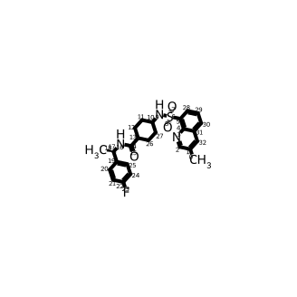 Cc1cnc2c(S(=O)(=O)NC3CCC(C(=O)N[C@H](C)c4ccc(F)cc4)CC3)cccc2c1